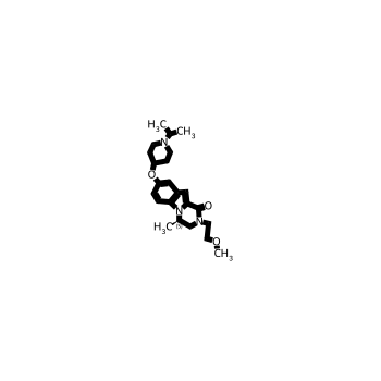 COCCN1C[C@H](C)n2c(cc3cc(OC4CCN(C(C)C)CC4)ccc32)C1=O